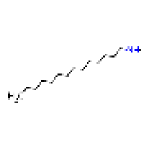 C=CCCCCCCCCCCCC[NH]